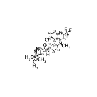 CN(c1cc(C(F)(F)F)nc2ccc(Cl)cc12)[C@H]1CC[C@@H](NC(=O)c2cn(C(C)(C)C)nn2)CC1